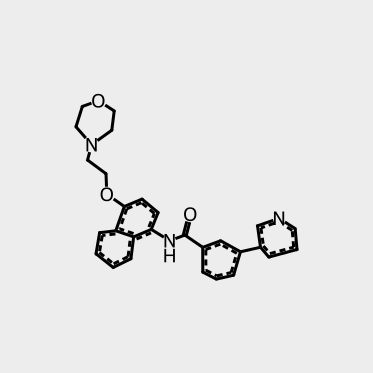 O=C(Nc1ccc(OCCN2CCOCC2)c2ccccc12)c1cccc(-c2cccnc2)c1